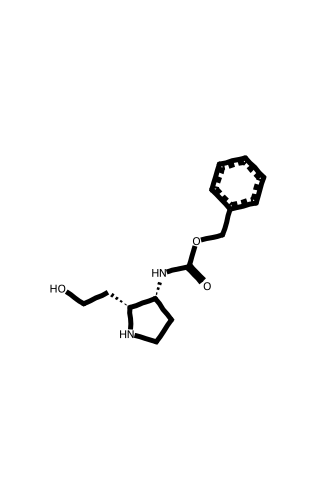 O=C(N[C@@H]1CCN[C@@H]1CCO)OCc1ccccc1